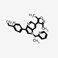 Cc1noc(C)c1-c1cnc2c(-c3ccc(CC(=O)O)cc3)cn([C@@H](C)c3ccccn3)c2c1